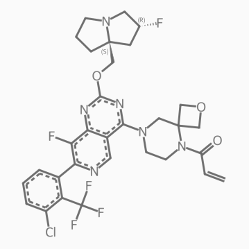 C=CC(=O)N1CCN(c2nc(OC[C@@]34CCCN3C[C@H](F)C4)nc3c(F)c(-c4cccc(Cl)c4C(F)(F)F)ncc23)CC12COC2